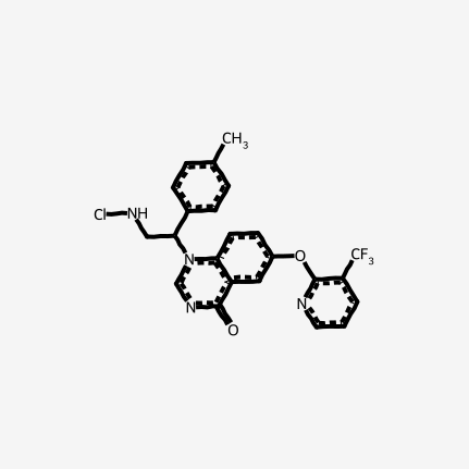 Cc1ccc(C(CNCl)n2cnc(=O)c3cc(Oc4ncccc4C(F)(F)F)ccc32)cc1